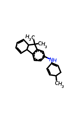 CC1C=CC(Nc2ccc3c(c2)C(C)(C)C2C=CC=CC32)=CC1